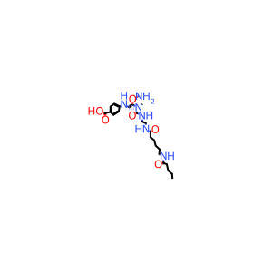 CCCCC(=O)NCCCCCC(=O)NCCNC(=O)N(C)/C(=C/Nc1ccc(C(=O)O)cc1)ON